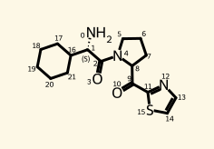 N[C@H](C(=O)N1CCCC1C(=O)c1nccs1)C1CCCCC1